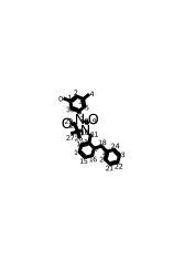 Cc1cc(C)cc(N2C(=O)N(CC3=CC=CCC3Cc3ccccc3)C(C)(C)C2=O)c1